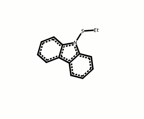 CCSn1c2ccccc2c2ccccc21